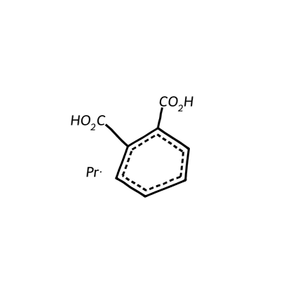 O=C(O)c1ccccc1C(=O)O.[Pr]